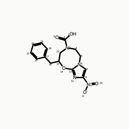 O=C(O)N1CCn2cc([N+](=O)[O-])nc2OC(Cc2ccccc2)C1